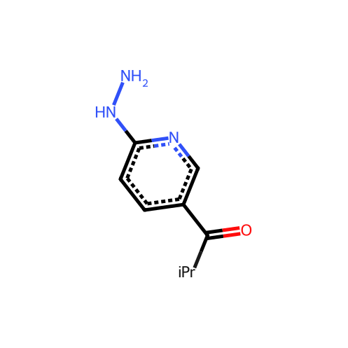 CC(C)C(=O)c1ccc(NN)nc1